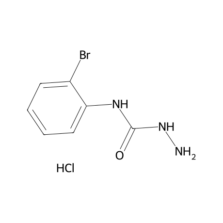 Cl.NNC(=O)Nc1ccccc1Br